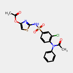 CC(=O)Oc1csc(NS(=O)(=O)c2ccc(N(C(C)=O)c3ccccc3)c(Cl)c2)n1